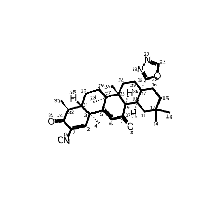 [C-]#[N+]C1=C[C@]2(C)C3=CC(=O)[C@@H]4[C@@H]5CC(C)(C)CC[C@]5(c5nnco5)CC[C@@]4(C)[C@]3(C)CC[C@H]2[C@H](C)C1=O